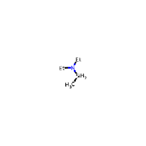 [CH2]CN(CC)[SiH2]C